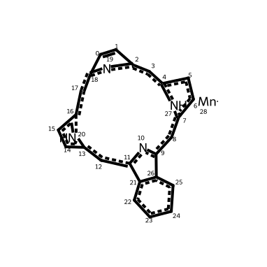 C1=Cc2cc3ccc(cc4nc(cc5ccc(cc1n2)[nH]5)-c1ccccc1-4)[nH]3.[Mn]